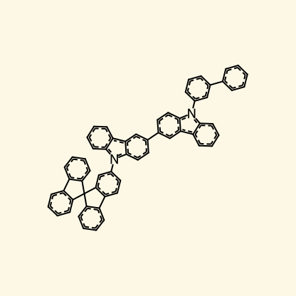 c1ccc(-c2cccc(-n3c4ccccc4c4cc(-c5ccc6c(c5)c5ccccc5n6-c5ccc6c(c5)C5(c7ccccc7-c7ccccc75)c5ccccc5-6)ccc43)c2)cc1